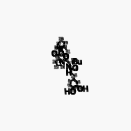 CCC(C)[C@H](NC(=O)CCc1ccc(O)c(O)c1)C(=O)N1CCC[C@H]1C(=O)OC1CC2CCC1(C)C2(C)C